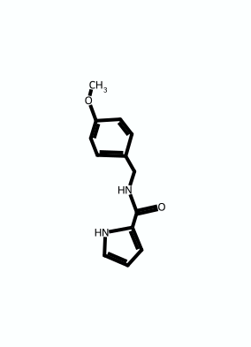 COc1ccc(CNC(=O)c2ccc[nH]2)cc1